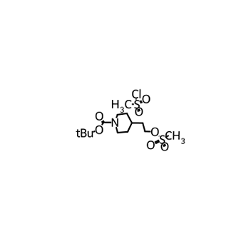 CC(C)(C)OC(=O)N1CCC(CCOS(C)(=O)=O)CC1.CS(=O)(=O)Cl